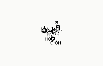 CO[C@H]1C[C@H]([C@@H](C)Nc2nc(C)c(-c3nc4c(C)nccc4s3)c(N[C@@H]3C[C@H](CO)[C@@H](O)[C@H]3O)n2)C1